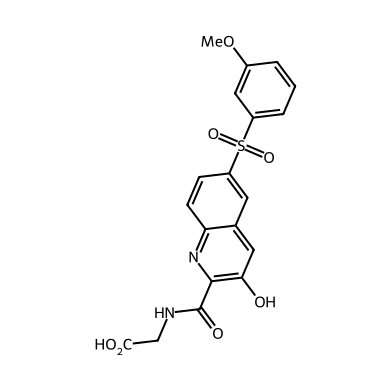 COc1cccc(S(=O)(=O)c2ccc3nc(C(=O)NCC(=O)O)c(O)cc3c2)c1